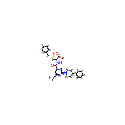 Cc1cc(C(=O)N[C@@H](CSCc2ccccc2)C(=O)O)nc(N2CCC(c3ccccc3)CC2)n1